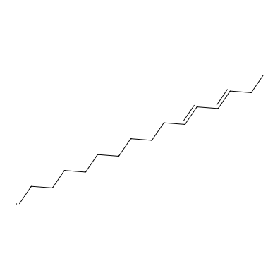 [CH2]CCCCCCCCCC=CC=CCC